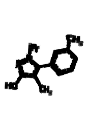 Cc1cccc(-c2c(C)c(O)nn2C(C)C)c1